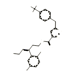 CC/C=C(/CCNC(=O)c1cc(Cc2ccc(C(F)(F)F)cc2)on1)c1cc(Cl)ccc1C